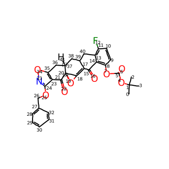 CC(C)(C)OC(=O)Oc1ccc(F)c2c1C(=O)C1=C3O[C@]34C(=O)c3c(OCc5ccccc5)noc3C[C@@H]4CC1C2